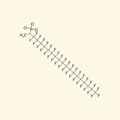 CC(C(F)(F)C(F)(F)C(F)(F)C(F)(F)C(F)(F)C(F)(F)C(F)(F)C(F)(F)C(F)(F)C(F)(F)C(F)(F)C(F)(F)C(F)(F)C(F)(F)C(F)(F)C(F)(F)C(F)(F)C(F)(F)F)[Si](Cl)(Cl)Cl